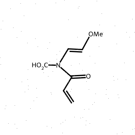 C=CC(=O)N(C=COC)C(=O)O